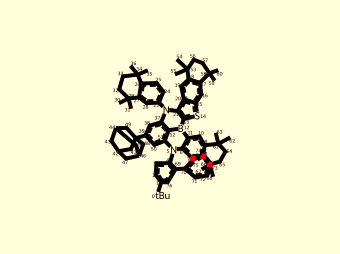 CC(C)(C)c1ccc(N2c3cc4c(cc3B3c5sc6cc7c(cc6c5N(c5ccc6c(c5)C(C)(C)CCC6(C)C)c5cc(C68CC9CC(CC(C9)C6)C8)cc2c53)C(C)(C)CCC7(C)C)C(C)(C)CCC4(C)C)c(-c2ccccc2)c1